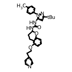 Cc1ccc(-n2nc(C(C)(C)C)cc2NC(=O)NC2CCc3c(OCCc4ccncc4)cccc3O2)cc1